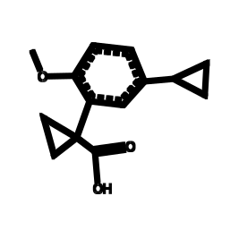 COc1ccc(C2CC2)cc1C1(C(=O)O)CC1